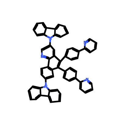 c1ccc(-c2ccc(-c3c(-c4ccc(-c5ccccn5)cc4)c4cc(-n5c6ccccc6c6ccccc65)cnc4c4ccc(-n5c6ccccc6c6ccccc65)cc34)cc2)nc1